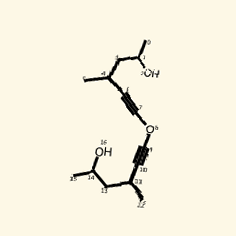 CC(O)CC(C)C#COC#CC(C)CC(C)O